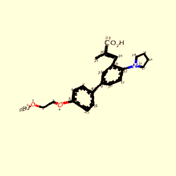 CCCCOCCOc1ccc(-c2ccc(N3CCCC3)c(C=C(C)C(=O)O)c2)cc1